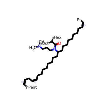 CC/C=C\CCCCCCCCC(CCCCCCCC/C=C\C/C=C\CCCCC)N(CCCN(C)C)C(=O)C(CCCCCC)CCCCCCCC